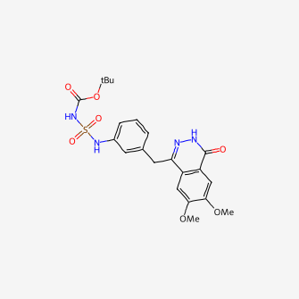 COc1cc2c(Cc3cccc(NS(=O)(=O)NC(=O)OC(C)(C)C)c3)n[nH]c(=O)c2cc1OC